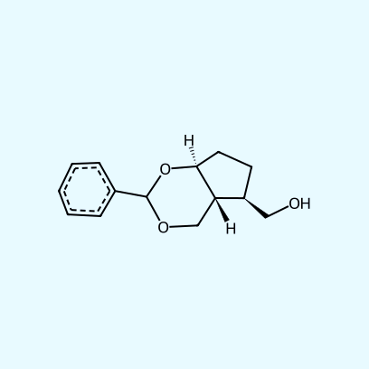 OC[C@@H]1CC[C@@H]2OC(c3ccccc3)OC[C@@H]12